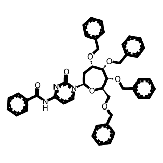 O=C(Nc1ccn([C@H]2C[C@H](OCc3ccccc3)[C@H](OCc3ccccc3)[C@H](OCc3ccccc3)[C@@H](COCc3ccccc3)O2)c(=O)n1)c1ccccc1